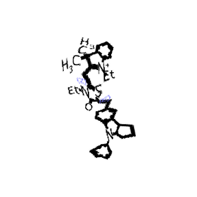 CCn1c(=O)/c(=C\c2ccc3c(c2)C2CCCC2N3c2ccccc2)s/c1=C\C1=[N+](CC)c2ccccc2C1(C)C